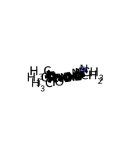 C=C1C=CC(N2CCN(C(=O)Cc3cc(C)c(C)c(C)c3F)CC2)=NN1/C=N\C